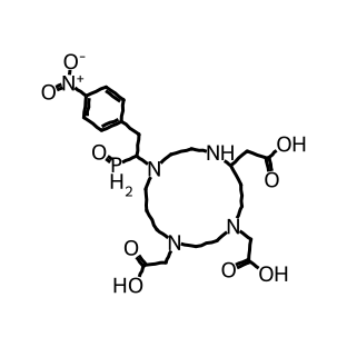 O=[PH2]C(Cc1ccc([N+](=O)[O-])cc1)N1CCCN(CC(=O)O)CCN(CC(=O)O)CCC(CC(=O)O)NCC1